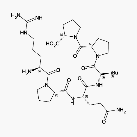 CC[C@H](C)[C@H](NC(=O)[C@H](CCC(N)=O)NC(=O)[C@@H]1CCCN1C(=O)[C@@H](N)CCCNC(=N)N)C(=O)N1CCC[C@H]1C(=O)N1CCC[C@H]1C(=O)O